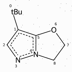 CC(C)(C)c1cnn2c1OCC2